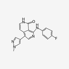 Cn1cc(-c2cnc(Nc3ccc(F)cc3)c3c(=O)[nH]ccc23)cn1